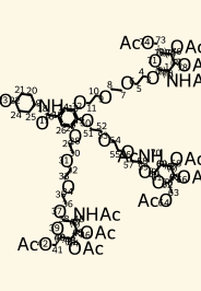 CC(=O)N[C@H]1[C@H](OCCOCCOCCOc2cc(C(=O)N[C@H]3CC[C@H](O)CC3)cc(OCCOCCOCCOC3O[C@H](COC(C)=O)[C@H](OC(C)=O)[C@H](OC(C)=O)[C@H]3NC(C)=O)c2OCCOCCOCCO[C@@H]2O[C@H](COC(C)=O)[C@H](OC(C)=O)[C@H](OC(C)=O)[C@H]2NC(C)=O)O[C@H](COC(C)=O)[C@H](OC(C)=O)[C@@H]1OC(C)=O